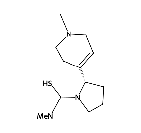 CNC(S)N1CCC[C@H]1C1=CCN(C)CC1